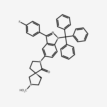 O=C(O)N1CC[C@]2(CCN(c3ccc4c(c3)c(-c3ccc(F)cc3)nn4C(c3ccccc3)(c3ccccc3)c3ccccc3)C2=O)C1